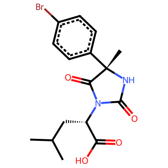 CC(C)C[C@@H](C(=O)O)N1C(=O)N[C@@](C)(c2ccc(Br)cc2)C1=O